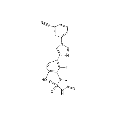 N#Cc1cccc(-n2cnc(-c3ccc(O)c(N4CC(=O)NS4(=O)=O)c3F)c2)c1